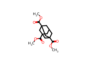 COC(=O)C12CC3CC(C(=O)OC)(C1)CC(C(=O)OC)(C3)C2